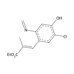 C=Nc1cc(O)c(Cl)cc1/C=C(\C)C(=O)OCC